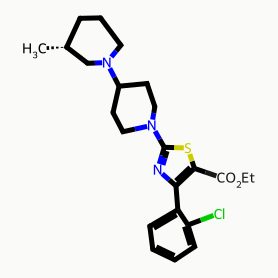 CCOC(=O)c1sc(N2CCC(N3CCC[C@@H](C)C3)CC2)nc1-c1ccccc1Cl